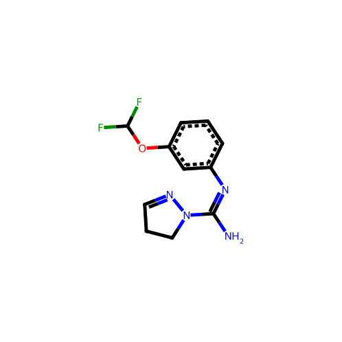 NC(=Nc1cccc(OC(F)F)c1)N1CCC=N1